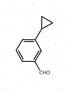 O=Cc1cccc([C]2CC2)c1